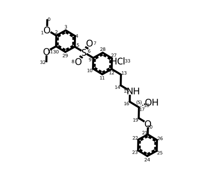 COc1ccc(S(=O)(=O)c2ccc(CCNC[C@H](O)COc3ccccc3)cc2)cc1OC.Cl